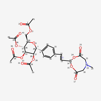 CC(=O)OC[C@H]1O[C@H](c2ccc(/C=C/B3OC(=O)CN(C)CC(=O)O3)cc2)[C@@H](OC(C)=O)[C@@H](OC(C)=O)[C@@H]1OC(C)=O